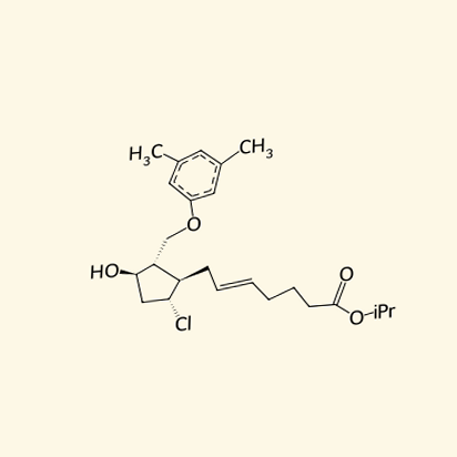 Cc1cc(C)cc(OC[C@@H]2[C@@H](CC=CCCCC(=O)OC(C)C)[C@H](Cl)C[C@H]2O)c1